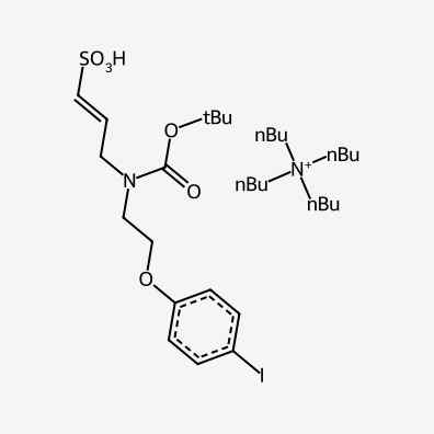 CC(C)(C)OC(=O)N(C/C=C/S(=O)(=O)O)CCOc1ccc(I)cc1.CCCC[N+](CCCC)(CCCC)CCCC